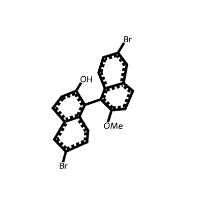 COc1ccc2cc(Br)ccc2c1-c1c(O)ccc2cc(Br)ccc12